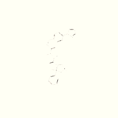 C[C@@H](NC(=O)[C@H](O)[C@@H](O)C(=O)N1CC(C)(C)CC1(C)c1cccc(Cl)c1)c1ccc(-n2cccn2)cc1